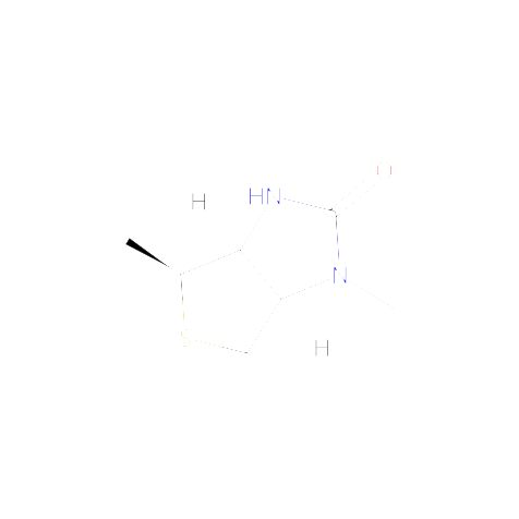 C[C@@H]1SC[C@H]2[C@@H]1NC(=O)N2C